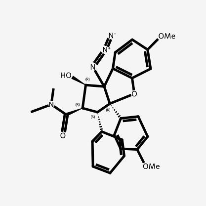 COc1ccc([C@@]23Oc4cc(OC)ccc4C2(N=[N+]=[N-])[C@H](O)[C@H](C(=O)N(C)C)[C@H]3c2ccccc2)cc1